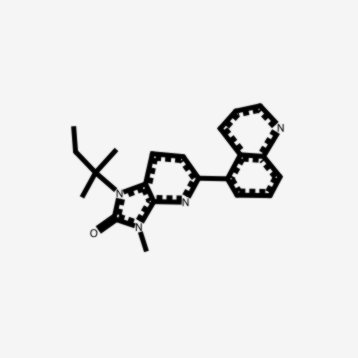 CCC(C)(C)n1c(=O)n(C)c2nc(-c3cccc4ncccc34)ccc21